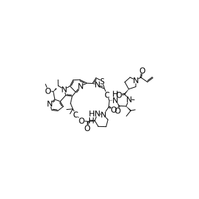 C=CC(=O)N1CC[C@H](C(=O)N(C)[C@H](C(=O)N[C@H]2Cc3nc(cs3)-c3ccc4c(n3)c(c(-c3cccnc3[C@H](C)OC)n4CC)CC(C)(C)COC(=O)[C@@H]3CCCN(N3)C2=O)C(C)C)C1